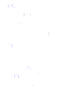 Cc1cc(Cl)cc(-c2ccnc3cc(Cn4c(=O)[nH]cc(F)c4=O)sc23)c1O[C@H]1CCCNC1